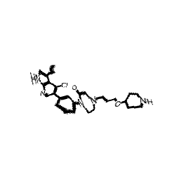 CCc1c[nH]c2ncc(-c3cccc(N4CCN(CCCOC5CCNCC5)CC4=O)c3)c(Cl)c12